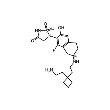 NCCC1(CCN[C@@H]2CCc3cc(O)c(N4CC(=O)NS4(=O)=O)c(F)c3C2)CCC1